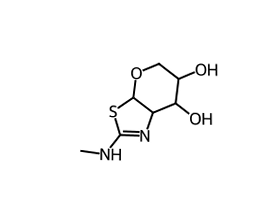 CNC1=NC2C(OCC(O)C2O)S1